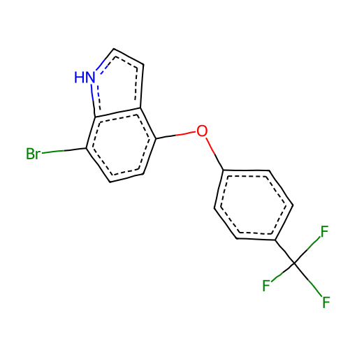 FC(F)(F)c1ccc(Oc2ccc(Br)c3[nH]ccc23)cc1